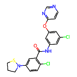 O=C(Nc1cc(Cl)cc(Oc2ccncn2)c1)c1cc(N2CCCS2)ccc1Cl